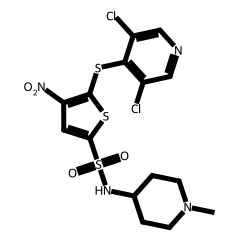 CN1CCC(NS(=O)(=O)c2cc([N+](=O)[O-])c(Sc3c(Cl)cncc3Cl)s2)CC1